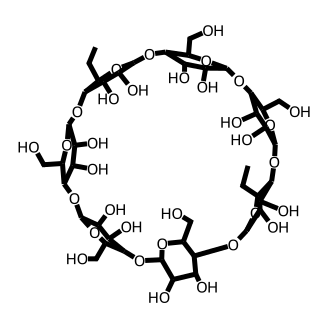 CCC1OC2OC3C(CO)OC(OC4C(CO)OC(OC5C(CO)OC(OC6C(CC)OC(OC7C(CO)OC(OC8C(CO)OC(OC1C(O)C2O)C(O)C8O)C(O)C7O)C(O)C6O)C(O)C5O)C(O)C4O)C(O)C3O